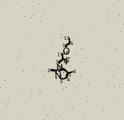 C=C1N2CC=C(C)C(C2)N1CC(F)COCCC